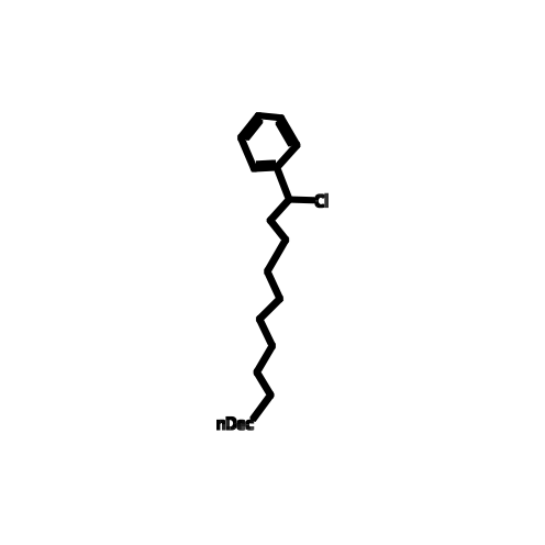 CCCCCCCCCCCCCCCCCCC(Cl)c1ccccc1